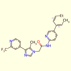 C/C=C(\C=C/CC)c1ccc(NC(=O)Cn2cnc(-c3ccnc(C(F)(F)F)c3)c2C)nc1